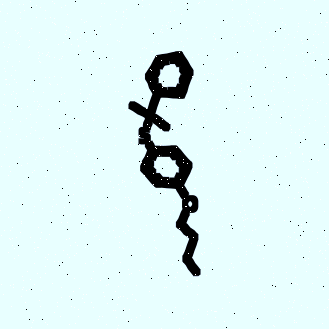 CCCCOc1ccc(SC(C)(C)c2ccccc2)cc1